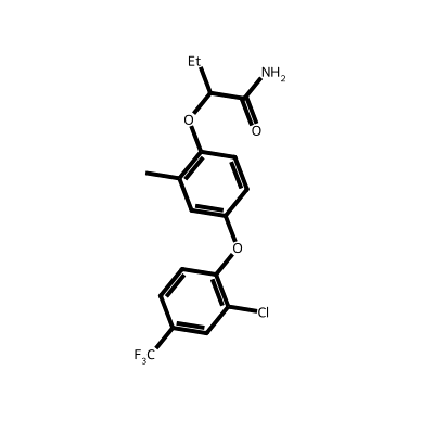 CCC(Oc1ccc(Oc2ccc(C(F)(F)F)cc2Cl)cc1C)C(N)=O